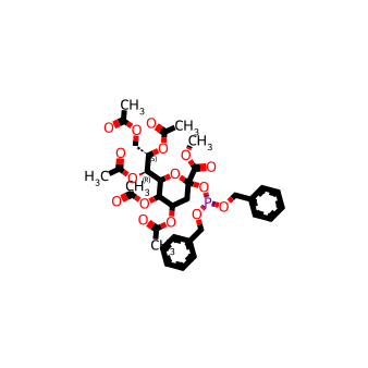 COC(=O)C1(OP(OCc2ccccc2)OCc2ccccc2)CC(OC(C)=O)C(OC(C)=O)C([C@H](OC(C)=O)[C@H](COC(C)=O)OC(C)=O)O1